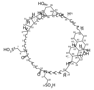 C[C@H]1CCCN(CCS(=O)(=O)O)C(=O)CCCC(=O)N(CCS(=O)(=O)O)CCC[C@H](C)[C@H]2CC[C@H]3[C@@H]4[C@@H](O)CC5C[C@H](CCC[C@H]6CC[C@]7(C)C(C6)C[C@@H](O)[C@@H]6[C@H]8CC[C@H]1[C@]8(C)CC[C@H]67)CC[C@]5(C)[C@H]4CC[C@]23C